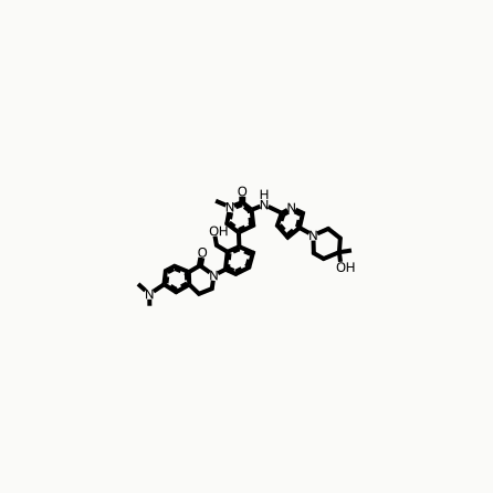 CN(C)c1ccc2c(c1)CCN(c1cccc(-c3cc(Nc4ccc(N5CCC(C)(O)CC5)cn4)c(=O)n(C)c3)c1CO)C2=O